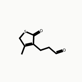 CC1=C(CCC=O)C(=O)SC1